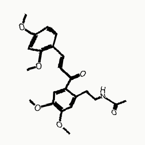 COc1ccc(/C=C/C(=O)c2cc(OC)c(OC)cc2CCNC(C)=O)c(OC)c1